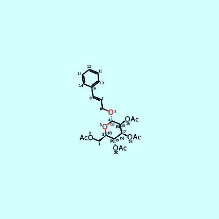 CC(=O)OC[C@H]1O[C@H](OCC=Cc2ccccc2)[C@@H](OC(C)=O)[C@@H](OC(C)=O)[C@@H]1OC(C)=O